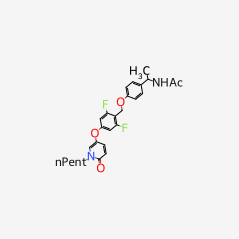 CCCCCn1cc(Oc2cc(F)c(COc3ccc(C(C)NC(C)=O)cc3)c(F)c2)ccc1=O